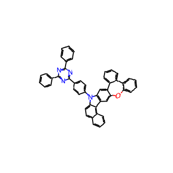 c1ccc(-c2nc(-c3ccccc3)nc(-c3ccc(-n4c5cc6c(cc5c5c7ccccc7ccc54)Oc4ccccc4-c4ccccc4-6)cc3)n2)cc1